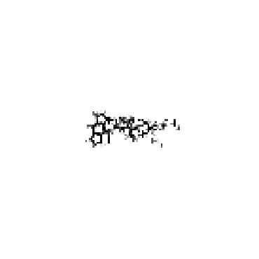 COC[C@]1(C)COc2c(S(N)(=O)=NC(=O)Nc3c4c(cc5c3CCC5)CCC4)cnn2C1